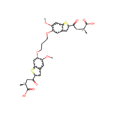 COc1cc2sc(C(=O)C[C@H](C)C(=O)O)cc2cc1OCCCOc1cc2sc(C(=O)C[C@H](C)C(=O)O)cc2cc1OC